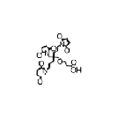 CN(CCCC(CCCN1C(=O)C=CC1=O)(COCCC(=O)O)CN1C(=O)C=CC1=O)C(=O)/C=C\C=O